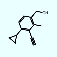 C#Cc1c(C2CC2)ccc(CO)c1F